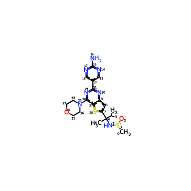 C[S+]([O-])NC(C)(C)c1cc2nc(-c3cnc(N)nc3)nc(N3CCOCC3)c2s1